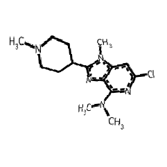 CN1CCC(c2nc3c(N(C)C)nc(Cl)cc3n2C)CC1